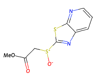 COC(=O)C[S+]([O-])c1nc2cccnc2s1